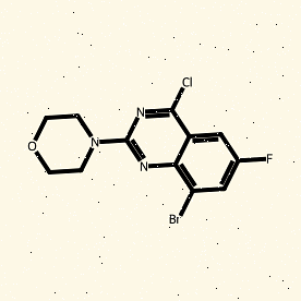 Fc1cc(Br)c2nc(N3CCOCC3)nc(Cl)c2c1